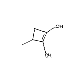 CC1CC(O)=C1O